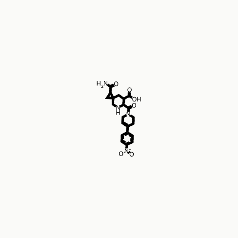 NC(=O)C1CC12CNC(C(=O)N1CC=C(c3ccc([N+](=O)[O-])cc3)CC1)C(C(=O)O)C2